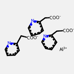 O=C([O-])Cc1ccccn1.O=C([O-])Cc1ccccn1.O=C([O-])Cc1ccccn1.[Al+3]